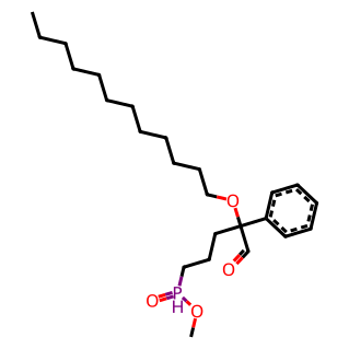 CCCCCCCCCCCCOC(C=O)(CCC[PH](=O)OC)c1ccccc1